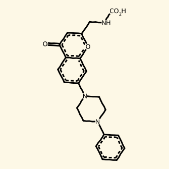 O=C(O)NCc1cc(=O)c2ccc(N3CCN(c4ccccc4)CC3)cc2o1